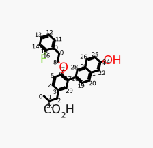 CC(Cc1ccc(OCCc2ccccc2F)c(-c2ccc3cc(O)ccc3c2)c1)C(=O)O